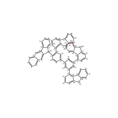 c1ccc2cc3c(cc2c1)c1ccccc1n3-c1ccc(-c2nc(-c3cccc4oc5ccccc5c34)nc(-c3cccc4oc5ccccc5c34)n2)cc1-c1cccc2c1sc1ccccc12